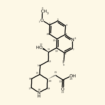 COc1ccc2ncc(F)c([C@H](O)CCC3CCNC[C@H]3CC(=O)O)c2c1